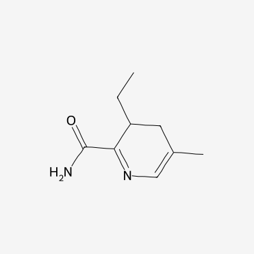 CCC1CC(C)=CN=C1C(N)=O